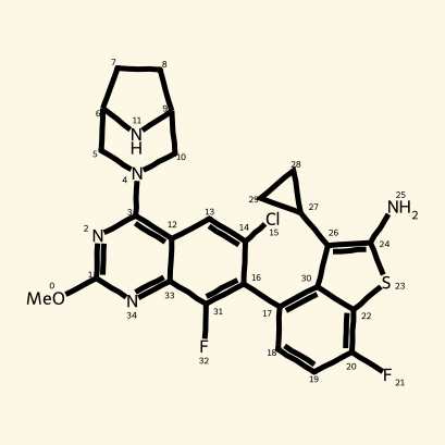 COc1nc(N2CC3CCC(C2)N3)c2cc(Cl)c(-c3ccc(F)c4sc(N)c(C5CC5)c34)c(F)c2n1